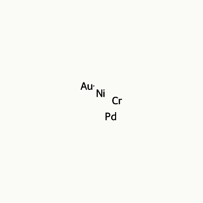 [Au].[Cr].[Ni].[Pd]